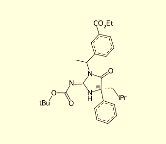 CCOC(=O)c1cccc(C(C)N2C(=O)[C@@](CC(C)C)(c3ccccc3)NC2=NC(=O)OC(C)(C)C)c1